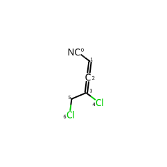 N#CC=C=C(Cl)CCl